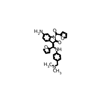 CN(C)Cc1ccc(N/C(=C2\C(=O)N(C(=O)c3ccco3)c3cc(N)ccc32)c2ccco2)cc1